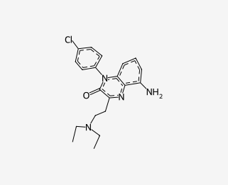 CCN(CC)CCc1nc2c(N)cccc2n(-c2ccc(Cl)cc2)c1=O